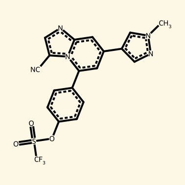 Cn1cc(-c2cc(-c3ccc(OS(=O)(=O)C(F)(F)F)cc3)n3c(C#N)cnc3c2)cn1